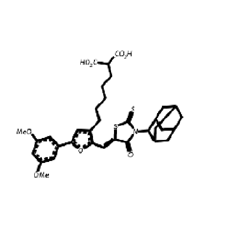 COc1cc(OC)cc(-c2cc(CCCCCC(C(=O)O)C(=O)O)c(/C=C3\SC(=S)N(C4C5CC6CC(C5)CC4C6)C3=O)o2)c1